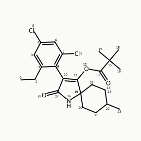 CCc1cc(Cl)cc(Cl)c1C1=C(OC(=O)C(C)(C)C)C2(CCC(C)CC2)NC1=O